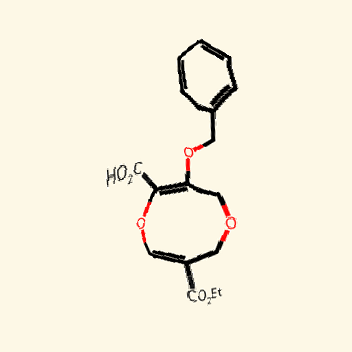 CCOC(=O)/C1=C/O/C(C(=O)O)=C(/OCc2ccccc2)COC1